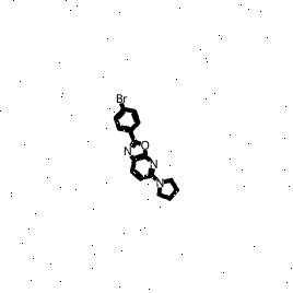 Brc1ccc(-c2nc3ccc(N4CCCC4)nc3o2)cc1